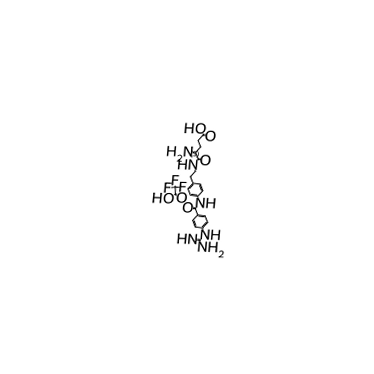 N=C(N)Nc1ccc(C(=O)Nc2ccc(CCNC(=O)[C@@H](N)CCC(=O)O)cc2)cc1.O=C(O)C(F)(F)F